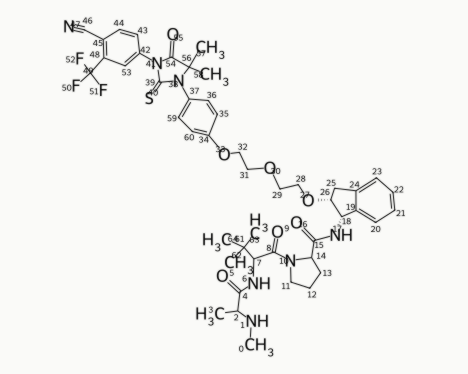 CNC(C)C(=O)NC(C(=O)N1CCCC1C(=O)N[C@H]1c2ccccc2C[C@H]1OCCOCCOc1ccc(N2C(=S)N(c3ccc(C#N)c(C(F)(F)F)c3)C(=O)C2(C)C)cc1)C(C)(C)C